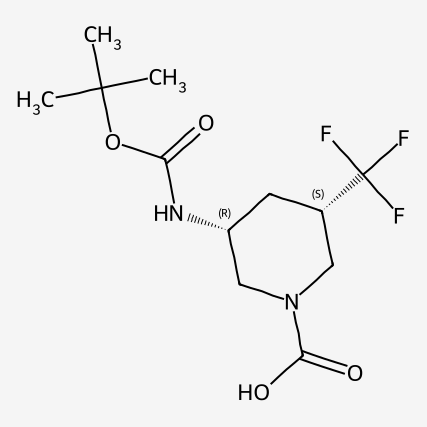 CC(C)(C)OC(=O)N[C@@H]1C[C@H](C(F)(F)F)CN(C(=O)O)C1